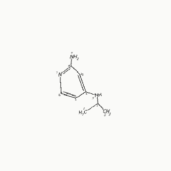 CC(C)Nc1ccnc(N)c1